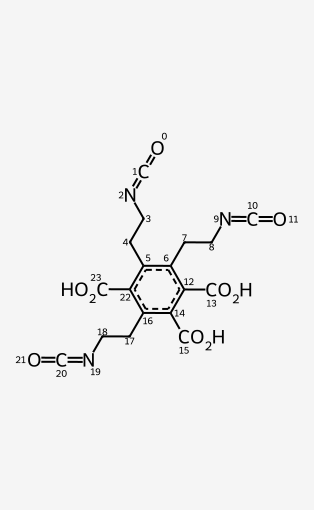 O=C=NCCc1c(CCN=C=O)c(C(=O)O)c(C(=O)O)c(CCN=C=O)c1C(=O)O